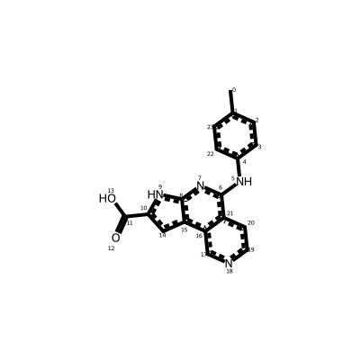 Cc1ccc(Nc2nc3[nH]c(C(=O)O)cc3c3cnccc23)cc1